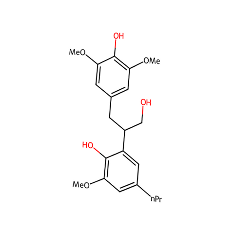 CCCc1cc(OC)c(O)c(C(CO)Cc2cc(OC)c(O)c(OC)c2)c1